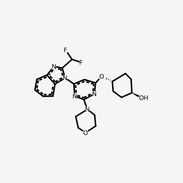 O[C@H]1CC[C@H](Oc2cc(-n3c(C(F)F)nc4ccccc43)nc(N3CCOCC3)n2)CC1